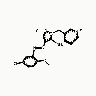 COc1ccc(Cl)cc1N=Nc1cnn(Cc2ccc[n+](C)c2)c1N.[Cl-]